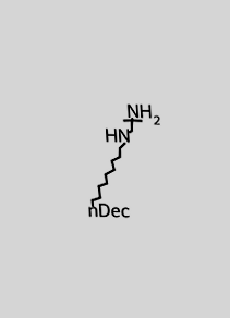 CCCCCCCCCCCCCCCCCCCCNCC(C)(C)N